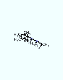 CCCCC(C)OC(C)(CC/C=C(\C)CC/C=C(\C)CCC=C(C)C)OC(C)CCCC